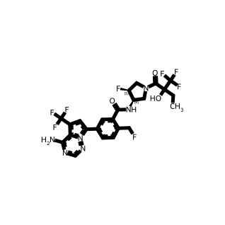 CCC(O)(C(=O)N1C[C@H](F)[C@H](NC(=O)c2cc(-c3cc(C(F)(F)F)c4c(N)ncnn34)ccc2CF)C1)C(F)(F)F